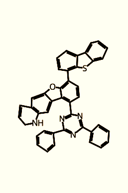 C1=Cc2cc3oc4c(-c5cccc6c5sc5ccccc56)ccc(-c5nc(-c6ccccc6)nc(-c6ccccc6)n5)c4c3cc2NC1